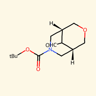 CC(C)(C)OC(=O)N1C[C@H]2COC[C@@H](C1)C2C=O